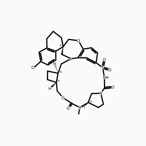 CN1C(=O)OC[C@@H]2CC[C@H]2CN2C[C@@]3(CCCc4cc(Cl)ccc43)COc3ccc(cc32)S(=O)(=O)NC(=O)N2CC[C@H]1C2